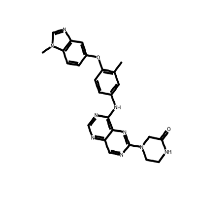 Cc1cc(Nc2ncnc3cnc(N4CCNC(=O)C4)nc23)ccc1Oc1ccc2c(c1)ncn2C